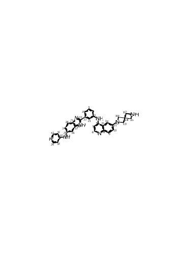 c1cc(Nc2ccnc3ccc(N4CC5(CNC5)C4)cc23)cc(-c2nc3ccc(Nc4ccncc4)cc3[nH]2)c1